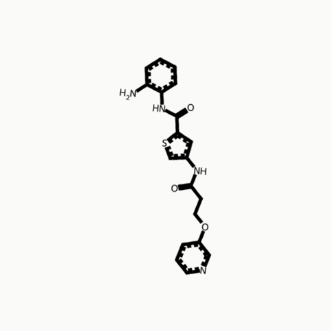 Nc1ccccc1NC(=O)c1cc(NC(=O)CCOc2cccnc2)cs1